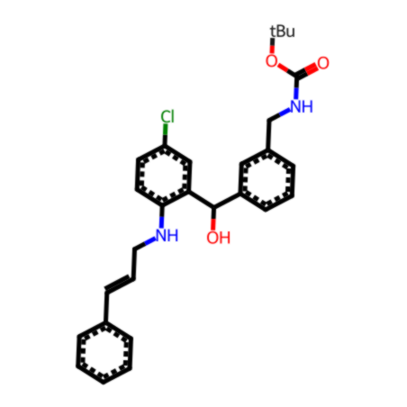 CC(C)(C)OC(=O)NCc1cccc(C(O)c2cc(Cl)ccc2NCC=Cc2ccccc2)c1